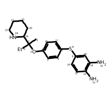 CCC(C)(Oc1ccc(Sc2ccc(N)c(N)c2)cc1)C1CCCCN1